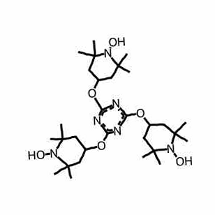 CC1(C)CC(Oc2nc(OC3CC(C)(C)N(O)C(C)(C)C3)nc(OC3CC(C)(C)N(O)C(C)(C)C3)n2)CC(C)(C)N1O